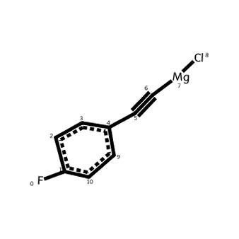 Fc1ccc(C#[C][Mg][Cl])cc1